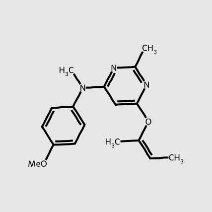 C/C=C(/C)Oc1cc(N(C)c2ccc(OC)cc2)nc(C)n1